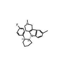 Cc1ccc2c(c1)c1c(n2[C@@H]2CCCC[C@H]2c2ccc(F)cc2)CCN(C)C1